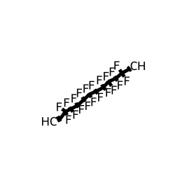 C#CC(F)(F)C(F)(F)C(F)(F)C(F)(F)C(F)(F)C(F)(F)C(F)(F)C(F)(F)C(F)(F)C(F)(F)C#C